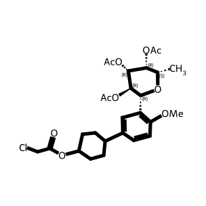 COc1ccc(C2CCC(OC(=O)CCl)CC2)cc1[C@H]1O[C@@H](C)[C@@H](OC(C)=O)[C@@H](OC(C)=O)[C@@H]1OC(C)=O